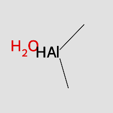 O.[CH3][AlH][CH3]